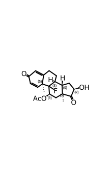 CC(=O)O[C@@H]1C[C@]2(C)C(=O)[C@H](O)C[C@H]2[C@@H]2CCC3=CC(=O)C=C[C@]3(C)C12F